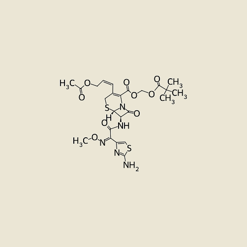 CO/N=C(\C(=O)N[C@@H]1C(=O)N2C(C(=O)OCOC(=O)C(C)(C)C)=C(/C=C\COC(C)=O)CS[C@@H]12)c1csc(N)n1